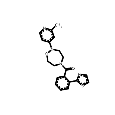 Cc1cc(N2CCN(C(=O)c3ccccc3-c3nccs3)CCO2)ccn1